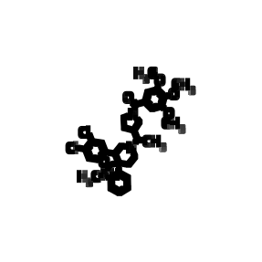 CNC(=O)C1(c2ccccc2)CCN(C(C)C2CCN(C(=O)c3cc(OC)c(OC)c(OC)c3)C2)CC1c1ccc(Cl)c(Cl)c1